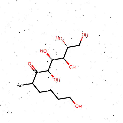 CC(=O)C(CCCCO)C(=O)[C@H](O)[C@@H](O)[C@H](O)[C@H](O)CO